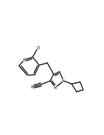 N#Cc1nn(C2CCC2)cc1Cc1cccnc1Cl